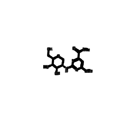 COC(=O)c1cc(OC)nc(N[C@H]2CO[C@H](CO)[C@H](O)[C@@H]2O)n1